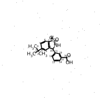 CC(C)(C)c1ccc2c(c1)C(c1cccc(C(=O)O)c1)NS2(=O)=O